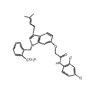 CC(C)=CCc1cn(Cc2ccccc2C(=O)O)c2cc(OCC(=O)Nc3ccc(Cl)cc3Cl)ccc12